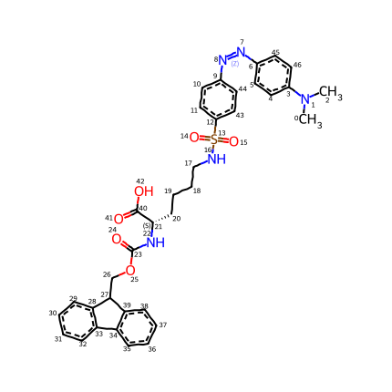 CN(C)c1ccc(/N=N\c2ccc(S(=O)(=O)NCCCC[C@H](NC(=O)OCC3c4ccccc4-c4ccccc43)C(=O)O)cc2)cc1